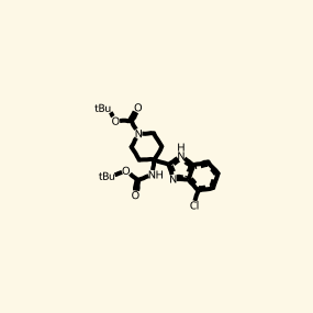 CC(C)(C)OC(=O)NC1(c2nc3c(Cl)cccc3[nH]2)CCN(C(=O)OC(C)(C)C)CC1